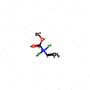 C=C[N+](F)(F)C(=O)OCC